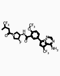 CC(CC(=O)N1C[C@H](F)[C@H](NC(=O)c2cc(-c3cc(C(F)(F)F)c4c(N)ncnn34)ccc2OC(F)(F)F)C1)C(F)(F)F